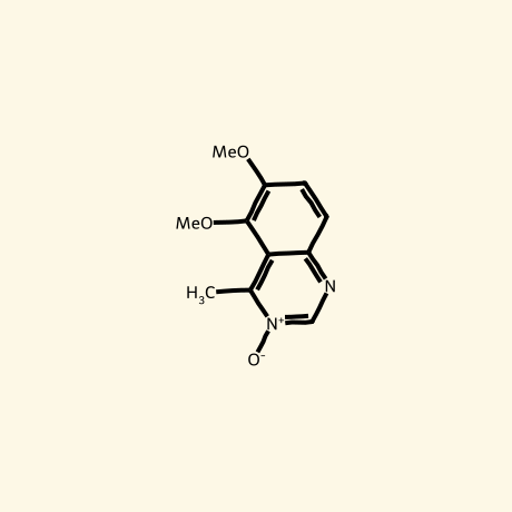 COc1ccc2nc[n+]([O-])c(C)c2c1OC